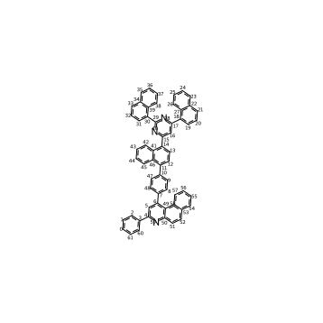 c1ccc(-c2cc(-c3ccc(-c4ccc(-c5cc(-c6cccc7ccccc67)nc(-c6cccc7ccccc67)n5)c5ccccc45)cc3)c3c(ccc4ccccc43)n2)cc1